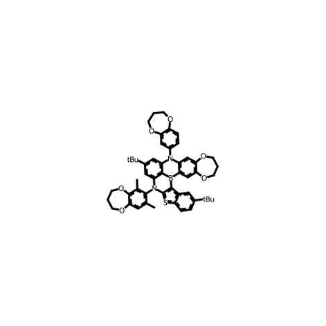 Cc1cc2c(c(C)c1N1c3cc(C(C)(C)C)cc4c3B(c3cc5c(cc3N4c3ccc4c(c3)OCCCO4)OCCCO5)c3c1sc1ccc(C(C)(C)C)cc31)OCCCO2